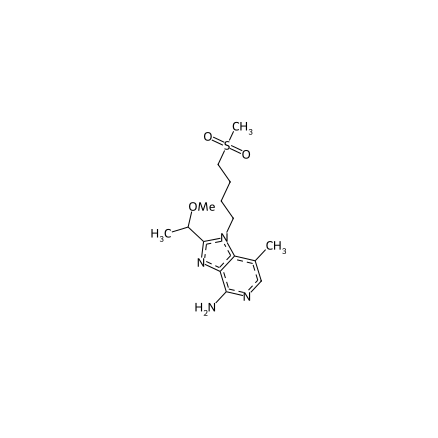 COC(C)c1nc2c(N)ncc(C)c2n1CCCCS(C)(=O)=O